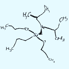 CCC[Si](OCC)(OCC)N(C(C)C)C(C)C